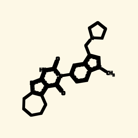 Cn1cc(CN2CCCC2)c2cc(-n3c(=O)[nH]c4sc5c(c4c3=O)CCCCC5)ccc21